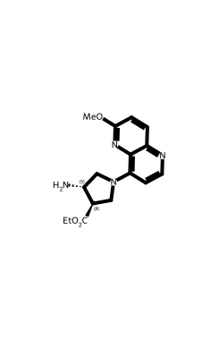 CCOC(=O)[C@@H]1CN(c2ccnc3ccc(OC)nc23)C[C@H]1N